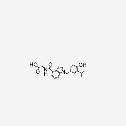 CC(C)c1cc(Cn2ccc3c(C(=O)NCC(=O)O)cccc32)ccc1O